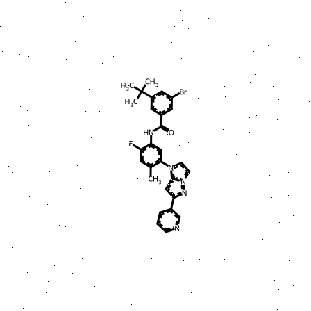 Cc1cc(F)c(NC(=O)c2cc(Br)cc(C(C)(C)C)c2)cc1-n1ccn2nc(-c3cccnc3)cc12